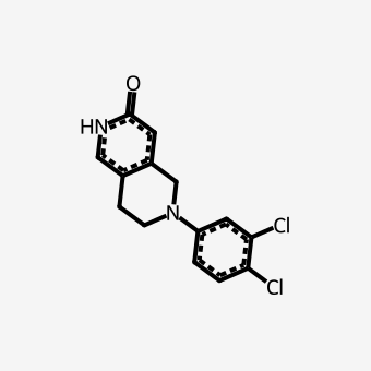 O=c1cc2c(c[nH]1)CCN(c1ccc(Cl)c(Cl)c1)C2